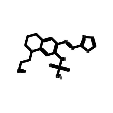 COCCN1CCCc2cc(N=Nc3nccs3)c(NS(=O)(=O)C(F)(F)F)cc21